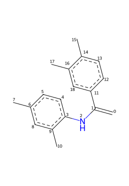 C=C(Nc1ccc(C)cc1C)c1ccc(C)c(C)c1